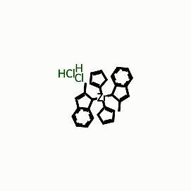 CC1=Cc2ccccc2[CH]1[Zr]([C]1=CC=CC1)([C]1=CC=CC1)[CH]1C(C)=Cc2ccccc21.Cl.Cl